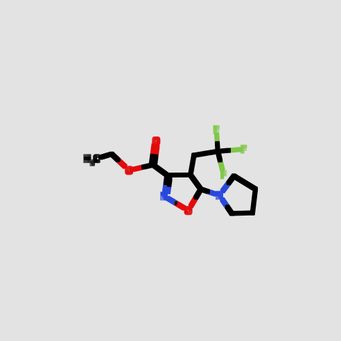 CCOC(=O)C1=NOC(N2CCCC2)C1CC(F)(F)F